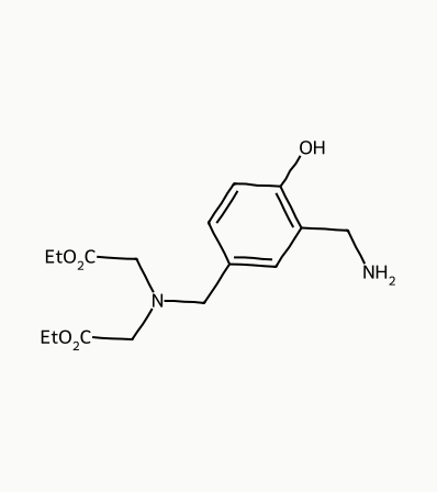 CCOC(=O)CN(CC(=O)OCC)Cc1ccc(O)c(CN)c1